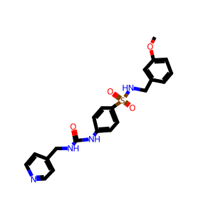 COc1cccc(CNS(=O)(=O)c2ccc(NC(=O)NCc3ccncc3)cc2)c1